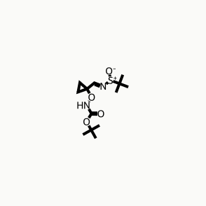 CC(C)(C)OC(=O)NOC1(C=N[S+]([O-])C(C)(C)C)CC1